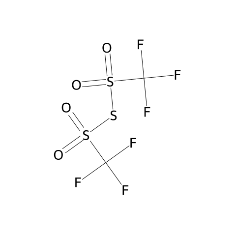 O=S(=O)(SS(=O)(=O)C(F)(F)F)C(F)(F)F